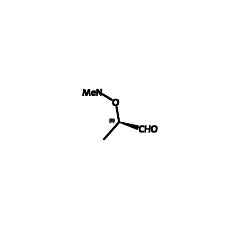 CNO[C@H](C)C=O